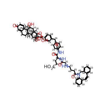 C[C@]12C=CC(=O)C=C1CC[C@@H]1[C@@H]2[C@@H](O)C[C@@]2(C)[C@H]1C[C@H]1O[C@@H](c3ccc(CC45CCC(NC(=O)[C@H](CCC(=O)O)NC(=O)CNCCCC(=O)N6Cc7ccccc7C#Cc7ccccc76)(CC4)CO5)cc3)O[C@]12C(=O)CO